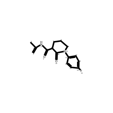 C=C(C)NC(=O)C1CCCN(c2ccc(F)cc2)C1=O